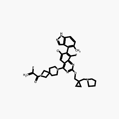 C=C(F)C(=O)N1CC2(CCN(c3nc(OCC4(CN5CCCC5)CC4)nc4c(F)c(-c5c(C)ccc6[nH]ncc56)c(Cl)cc34)CC2)C1